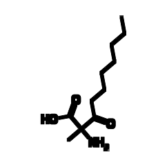 CCCCCCCC(=O)C(C)(N)C(=O)O